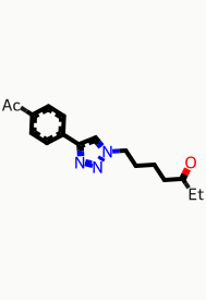 CCC(=O)CCCCn1cc(-c2ccc(C(C)=O)cc2)nn1